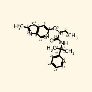 CCN(Oc1cc2sc(C)nc2cn1)C(=O)NC(C)(C)c1ccccn1